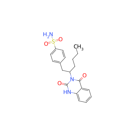 CCCCC(Cc1ccc(S(N)(=O)=O)cc1)n1c(=O)[nH]c2ccccc2c1=O